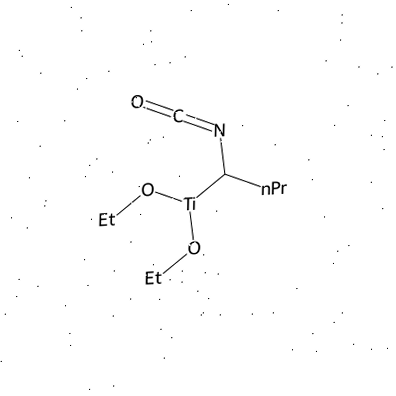 CCC[CH](N=C=O)[Ti]([O]CC)[O]CC